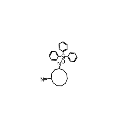 N#CC1CCCCCCCC(=NO[Si](c2ccccc2)(c2ccccc2)c2ccccc2)CC1